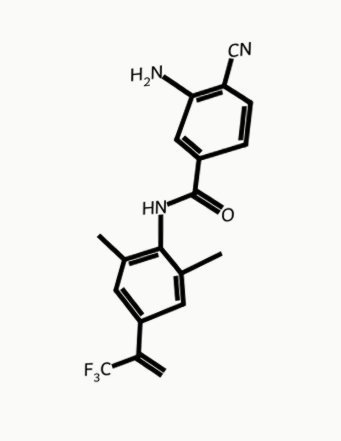 C=C(c1cc(C)c(NC(=O)c2ccc(C#N)c(N)c2)c(C)c1)C(F)(F)F